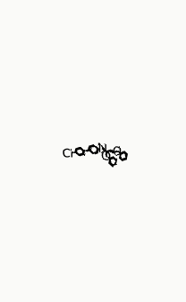 Clc1ccc(-c2ccc(N=C(C=COc3ccccc3)Oc3ccccc3)cc2)cc1